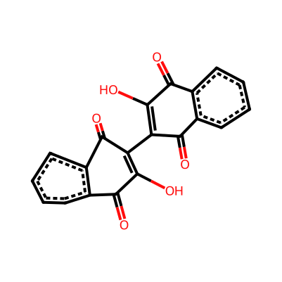 O=C1C(O)=C(C2=C(O)C(=O)c3ccccc3C2=O)C(=O)c2ccccc21